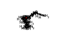 NCCCCNCCCNC(=O)c1csc(-c2csc(CCNC(=O)CCC(=O)NCC3OC(OC4C(O)C(N)CC(N)C4OC4OC(CN)C(O)C(O)C4N)C(O)C3OC3OC(CN)C(O)C(O)C3N)n2)n1